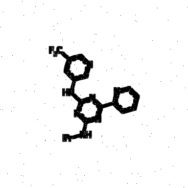 CC(C)Nc1nc(Nc2cncc(C(F)(F)F)c2)nc(-c2ccccn2)n1